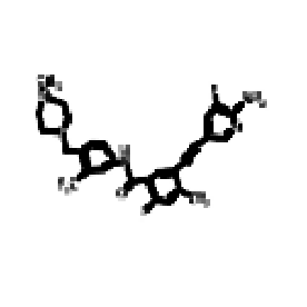 Cc1cc(F)c(C(=O)Nc2ccc(CN3CCN(C)CC3)c(C(F)(F)F)c2)cc1C#Cc1cnc(N)c(F)c1